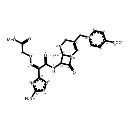 COC(=O)CO/N=C(\C(=O)NC1C(=O)N2C=C(C[n+]3ccc(C(=O)[O-])cc3)CS[C@H]12)c1nsc(N)n1